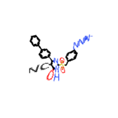 N#Cc1c(-c2ccc(-c3ccccc3)cc2)nc(S(=O)(=O)Cc2ccc(N=[N+]=[N-])cc2)[nH]c1=O